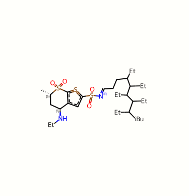 CCN[C@H]1C[C@H](C)S(=O)(=O)c2sc(S(=O)(=O)/N=C/CCC(CC)C(CC)C(CC)C(CC)C(CC)C(C)CC)cc21